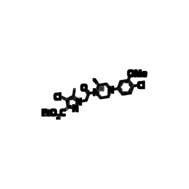 CCOC(=O)c1nn(CC(=O)N2CCN(c3ccc(Cl)c(OC)c3)C[C@@H]2C)c(C)c1Cl